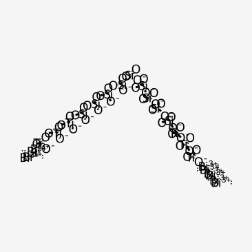 O=[Si]([O-])[O-].O=[Si]([O-])[O-].O=[Si]([O-])[O-].O=[Si]([O-])[O-].O=[Si]([O-])[O-].O=[Si]([O-])[O-].O=[Si]([O-])[O-].O=[Si]([O-])[O-].O=[Si]([O-])[O-].[Bi+3].[Bi+3].[Bi+3].[Bi+3].[Bi+3].[Bi+3].[Bi+3].[Bi+3].[Bi+3].[Bi+3].[O]=[Ti]([O-])[O-].[O]=[Ti]([O-])[O-].[O]=[Ti]([O-])[O-].[O]=[Ti]([O-])[O-].[O]=[Ti]([O-])[O-].[O]=[Ti]([O-])[O-]